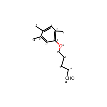 Cc1cc(C)c(OCCCCC=O)cc1C